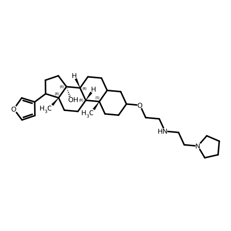 C[C@]12CCC(OCCNCCN3CCCC3)CC1CC[C@@H]1[C@H]2CC[C@]2(C)C(c3ccoc3)CC[C@@]12O